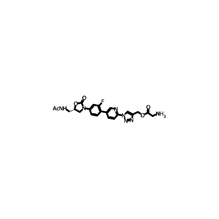 CC(=O)NC[C@H]1CN(c2ccc(-c3ccc(-n4cc(COC(=O)CN)nn4)nc3)c(F)c2)C(=O)O1